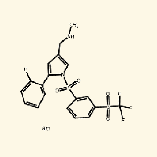 CNCc1cc(-c2ccccc2F)n(S(=O)(=O)c2cccc(S(=O)(=O)C(F)(F)F)c2)c1.Cl